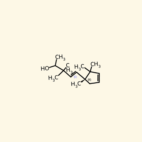 CC(O)C(C)(C)/C=C/[C@@]1(C)CC=CC1(C)C